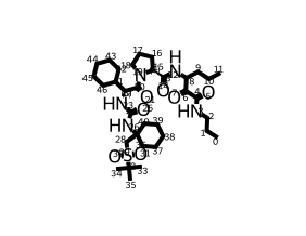 CCCNC(=O)C(=O)C(CCC)NC(=O)[C@@H]1CCCN1C(=O)[C@@H](NC(=O)NC1(CS(=O)(=O)C(C)(C)C)CCCCC1)C1CCCCC1